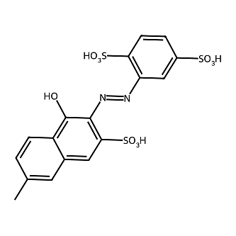 Cc1ccc2c(O)c(N=Nc3cc(S(=O)(=O)O)ccc3S(=O)(=O)O)c(S(=O)(=O)O)cc2c1